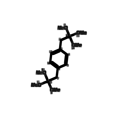 CO[Si](Cc1ccc(C[Si](OC)(OC)OC)cc1)(OC)OC